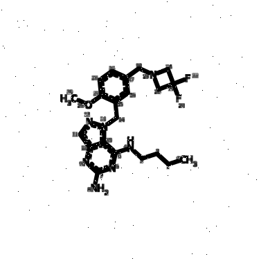 CCCCNc1nc(N)nc2cnn(Cc3cc(CN4CC(F)(F)C4)ccc3OC)c12